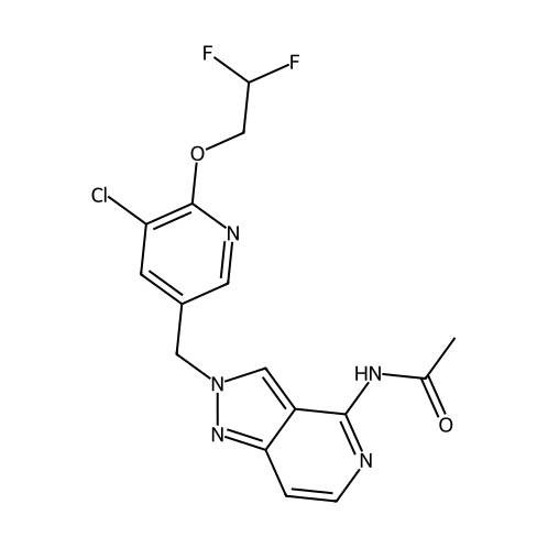 CC(=O)Nc1nccc2nn(Cc3cnc(OCC(F)F)c(Cl)c3)cc12